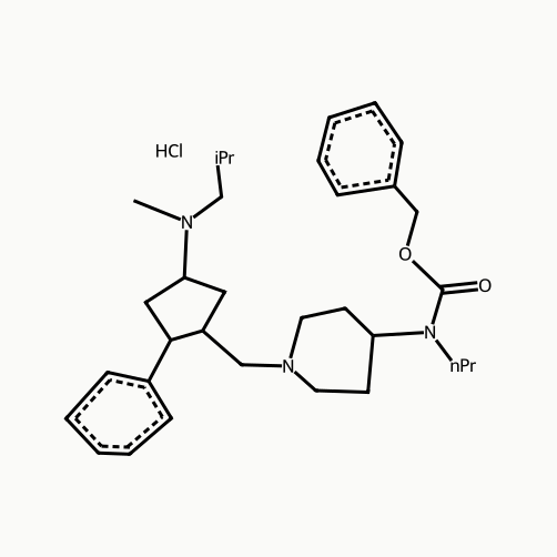 CCCN(C(=O)OCc1ccccc1)C1CCN(CC2CC(N(C)CC(C)C)CC2c2ccccc2)CC1.Cl